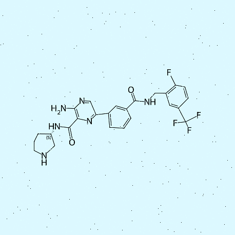 Nc1ncc(-c2cccc(C(=O)NCc3cc(C(F)(F)F)ccc3F)c2)nc1C(=O)N[C@H]1CCCNC1